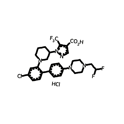 Cl.O=C(O)c1cnn(C2CCCN(c3cc(Cl)ccc3-c3ccc(N4CCN(CC(F)F)CC4)cc3)C2)c1C(F)(F)F